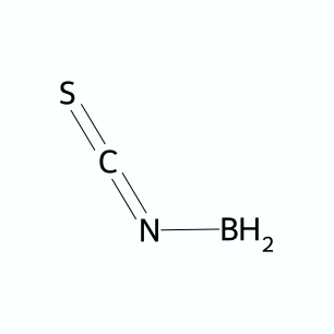 BN=C=S